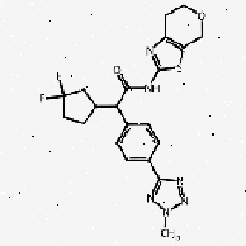 Cn1nnc(-c2ccc(C(C(=O)Nc3nc4c(s3)COCC4)C3CCC(F)(F)C3)cc2)n1